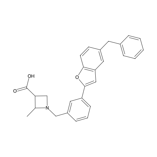 CC1C(C(=O)O)CN1Cc1cccc(-c2cc3cc(Cc4ccccc4)ccc3o2)c1